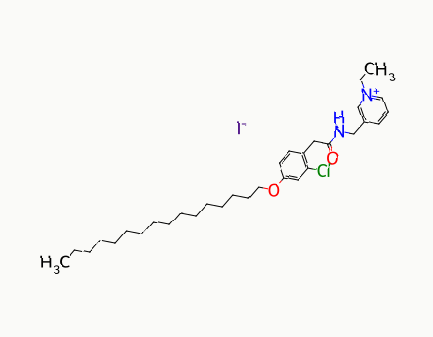 CCCCCCCCCCCCCCCCOc1ccc(CC(=O)NCc2ccc[n+](CC)c2)c(Cl)c1.[I-]